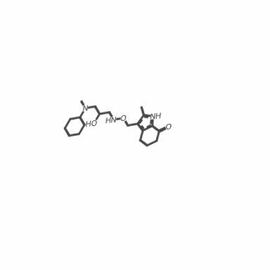 Cc1[nH]c2c(c1CONCC(O)CN(C)C1CCCCC1)CCCC2=O